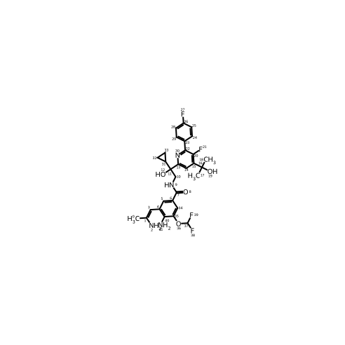 C/C(N)=C/c1cc(C(=O)NCC(O)(c2cc(C(C)(C)O)c(F)c(-c3ccc(F)cc3)n2)C2CC2)cc(OC(F)F)c1N